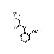 COc1ccccc1OC(=O)CCN